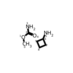 COC(N)=O.NC1CCC1